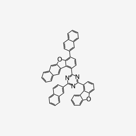 c1ccc2cc(-c3nc(-c4cccc5oc6ccccc6c45)nc(-c4ccc(-c5ccc6ccccc6c5)c5oc6cc7ccccc7cc6c45)n3)ccc2c1